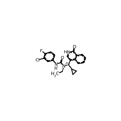 CCN(C(=O)Nc1ccc(F)c(Cl)c1)[C@@H](c1c[nH]c(=O)c2ccccc12)C1CC1